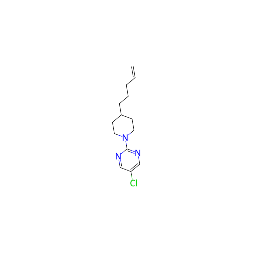 C=CCCCC1CCN(c2ncc(Cl)cn2)CC1